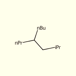 [CH2]C(C)CC(CCC)CCCC